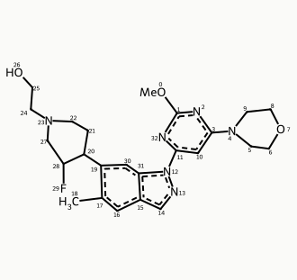 COc1nc(N2CCOCC2)cc(-n2ncc3cc(C)c(C4CCN(CCO)CC4F)cc32)n1